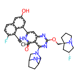 C#Cc1c(F)ccc2cc(O)cc(-c3cc4nc(OC[C@@]56CCCN5C[C@H](F)C6)nc(N5CC6CCC(C5)N6)c4c(=O)[nH]3)c12